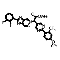 CCCOc1ccc(-c2ncc(C(C(=O)OC)n3cc4nc(-c5cccc(F)c5F)nc-4cn3)cn2)c(C(F)(F)F)c1